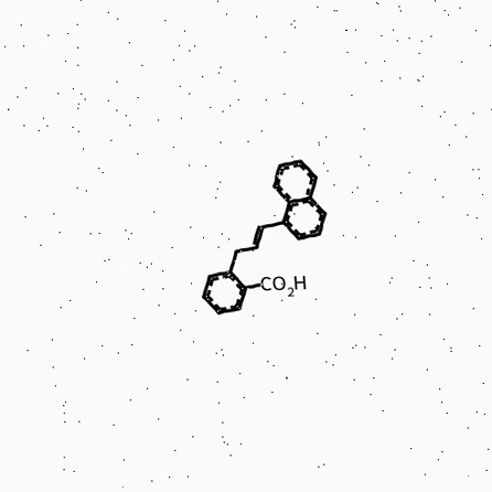 O=C(O)c1ccccc1C/C=C/c1cccc2ccccc12